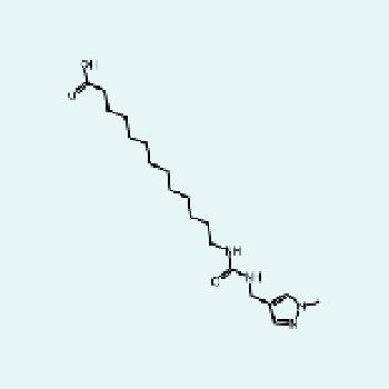 Cn1cc(CNC(=O)NCCCCCCCCCCCCC(=O)O)cn1